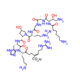 C[C@H](NC(=O)[C@@H](NC(=O)[C@@H](N)CCCCN)[C@@H](O)CN)C(=O)NCC(=O)N[C@H](CCCN)C(=O)N1C[C@H](O)C[C@H]1C(=O)N[C@@H](Cc1cnc[nH]1)C(=O)N[C@@H](CCCCN)C(=O)CC/C(=C\CCNC(=N)N)C(=O)O